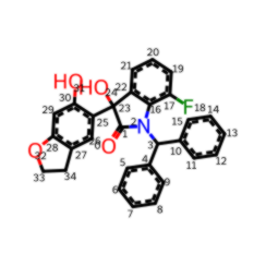 O=C1N(C(c2ccccc2)c2ccccc2)c2c(F)cccc2C1(O)c1cc2c(cc1O)OCC2